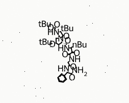 CCCCC(NC(=O)[C@@H]1C[C@@H](OC(C)(C)C)CN1C(=O)[C@@H](NC(=O)OC(C)(C)C)C(C)(C)C)C(=O)C(=O)NCC(=O)N[C@H](C(N)=O)c1ccccc1